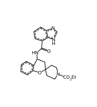 CCOC(=O)N1CCC2(CC1)CC(NC(=O)c1cccc3nc[nH]c13)c1ccccc1O2